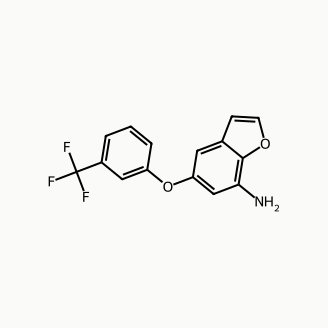 Nc1cc(Oc2cccc(C(F)(F)F)c2)cc2ccoc12